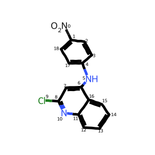 O=[N+]([O-])c1ccc(Nc2cc(Cl)nc3cc[c]cc23)cc1